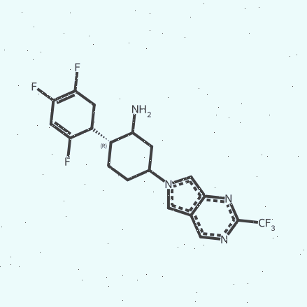 NC1CC(n2cc3cnc(C(F)(F)F)nc3c2)CC[C@@H]1C1CC(F)=C(F)C=C1F